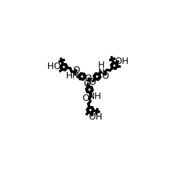 Cc1cc(CCC(=O)Nc2ccc(OP(Oc3ccc(NC(=O)CCc4cc(C)c(O)c(C(C)(C)C)c4)cc3)Oc3ccc(NC(=O)CCc4cc(C)c(O)c(C(C)(C)C)c4)cc3)cc2)cc(C(C)(C)C)c1O